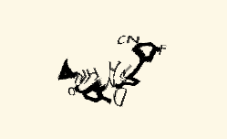 [C-]#[N+]c1cc(F)cc(-c2ccc(C(=O)Nc3cc(C(=O)NC4CC4)ccc3C)s2)c1